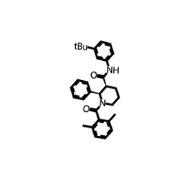 Cc1cccc(C)c1C(=O)N1CCC[C@H](C(=O)Nc2cccc(C(C)(C)C)c2)[C@@H]1c1ccccc1